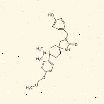 COCOc1ccc([C@]2(N(C)C)CC[C@@]3(CC2)CN(Cc2ccc(O)cc2)C(=O)N3)cc1